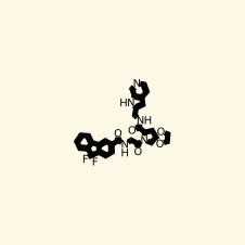 O=C(NCC(=O)N1CC2(CC1C(=O)NCc1cc3ccncc3[nH]1)OCCO2)c1ccc2c(c1)-c1ccccc1C2(F)F